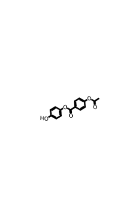 CC(=O)Oc1ccc(C(=O)Oc2ccc(O)cc2)cc1